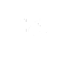 c1c(C2CCCCC2)cc2c3c1SCCCN3[C@H]1CCNC[C@@H]21